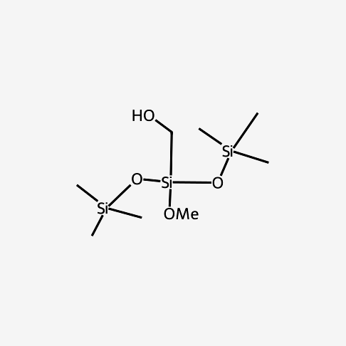 CO[Si](CO)(O[Si](C)(C)C)O[Si](C)(C)C